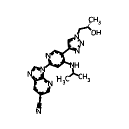 CC(C)Nc1cc(-n2cnc3cc(C#N)cnc32)ncc1-c1cn(C[C@H](C)O)nn1